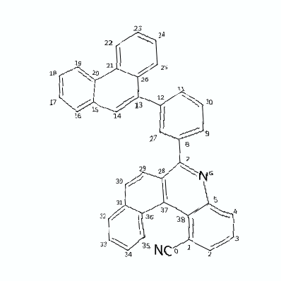 N#Cc1cccc2nc(-c3cccc(-c4cc5ccccc5c5ccccc45)c3)c3ccc4ccccc4c3c12